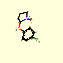 CCN1CCCC1Oc1ccc(Br)cc1